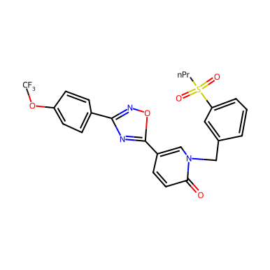 CCCS(=O)(=O)c1cccc(Cn2cc(-c3nc(-c4ccc(OC(F)(F)F)cc4)no3)ccc2=O)c1